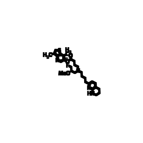 CO[C@H](CF)CN(CCCCc1ccc2c(n1)NCCC2)CCCC(=O)O[n+]1cnc2c(C)csc2c1C